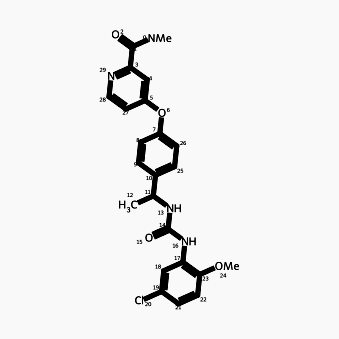 CNC(=O)c1cc(Oc2ccc(C(C)NC(=O)Nc3cc(Cl)ccc3OC)cc2)ccn1